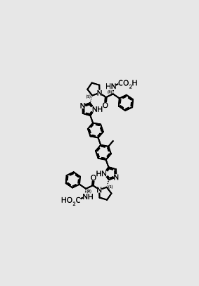 Cc1cc(-c2cnc([C@@H]3CCCN3C(=O)[C@H](NC(=O)O)c3ccccc3)[nH]2)ccc1-c1ccc(-c2cnc([C@@H]3CCCN3C(=O)[C@H](NC(=O)O)c3ccccc3)[nH]2)cc1